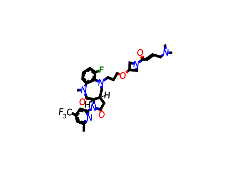 Cc1cc(C(F)(F)F)cc(N2C(=O)C[C@@H]3CN(CCCOC4CN(C(=O)/C=C/CN(C)C)C4)c4c(F)cccc4N(C)C(=O)[C@H]32)n1